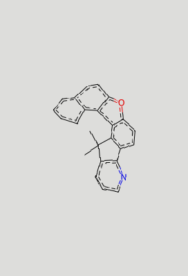 CC1(C)c2cccnc2-c2ccc3oc4ccc5ccccc5c4c3c21